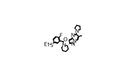 CCSc1ccc(F)c(C(=O)N2CCCC[C@H]2c2cc3nc(N4CCCC4)c(C)cn3n2)c1